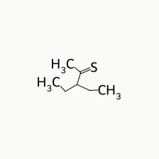 CCC(CC)C(C)=S